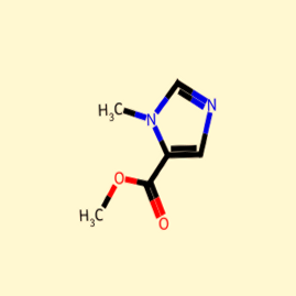 COC(=O)c1cn[c]n1C